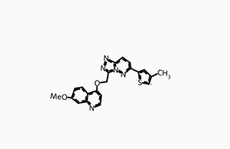 COc1ccc2c(OCc3nnc4ccc(-c5cc(C)[c]s5)nn34)ccnc2c1